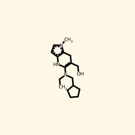 CCN(CC1CCCC1)C1=C(CO)Cc2c(ccn2C)N1